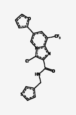 O=C(NCc1ccsc1)c1nc2c(C(F)(F)F)cc(-c3ccco3)cn2c1Cl